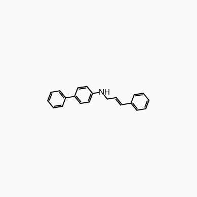 C(=Cc1ccccc1)CNc1ccc(-c2ccccc2)cc1